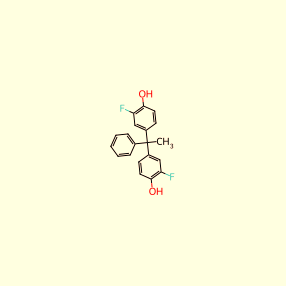 CC(c1ccccc1)(c1ccc(O)c(F)c1)c1ccc(O)c(F)c1